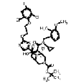 COc1cccc(CN(C(=O)C2=C(c3cnc(OCCOc4c(Cl)cc(F)cc4Cl)s3)CC3CN(C(=O)OC(C)(C)C)C[C@H]2N3C(=O)O)C2CC2)c1C